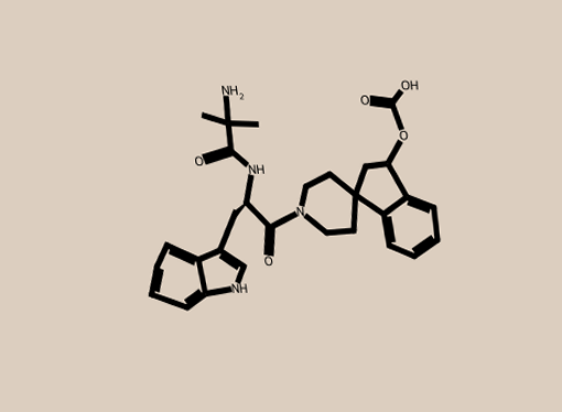 CC(C)(N)C(=O)N[C@H](Cc1c[nH]c2ccccc12)C(=O)N1CCC2(CC1)CC(OC(=O)O)c1ccccc12